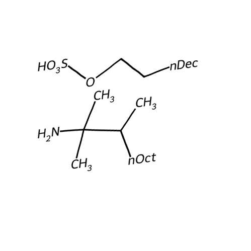 CCCCCCCCC(C)C(C)(C)N.CCCCCCCCCCCCOS(=O)(=O)O